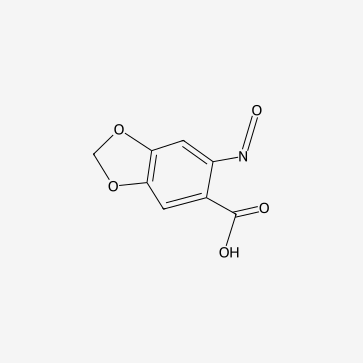 O=Nc1cc2c(cc1C(=O)O)OCO2